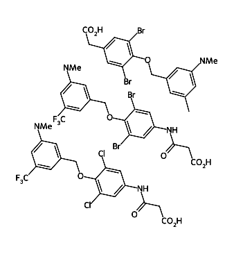 CNc1cc(C)cc(COc2c(Br)cc(CC(=O)O)cc2Br)c1.CNc1cc(COc2c(Br)cc(NC(=O)CC(=O)O)cc2Br)cc(C(F)(F)F)c1.CNc1cc(COc2c(Cl)cc(NC(=O)CC(=O)O)cc2Cl)cc(C(F)(F)F)c1